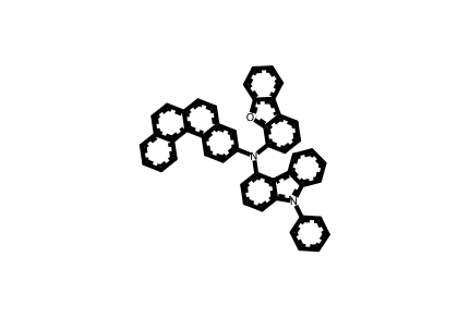 c1ccc(-n2c3ccccc3c3c(N(c4ccc5c(ccc6ccc7ccccc7c65)c4)c4cccc5c4oc4ccccc45)cccc32)cc1